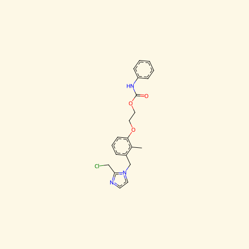 Cc1c(Cn2ccnc2CCl)cccc1OCCOC(=O)Nc1ccccc1